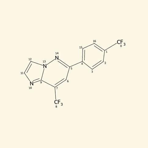 FC(F)(F)c1ccc(-c2cc(C(F)(F)F)c3nccn3n2)cc1